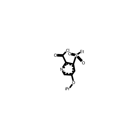 CCS(=O)(=O)c1cc(OC(C)C)cnc1C(=O)Cl